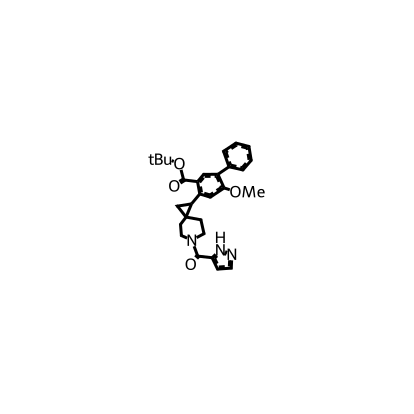 COc1cc(C2CC23CCN(C(=O)c2ccn[nH]2)CC3)c(C(=O)OC(C)(C)C)cc1-c1ccccc1